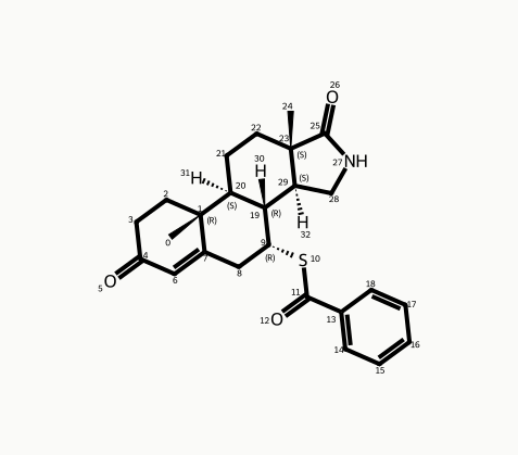 C[C@]12CCC(=O)C=C1C[C@@H](SC(=O)c1ccccc1)[C@@H]1[C@@H]2CC[C@]2(C)C(=O)NC[C@@H]12